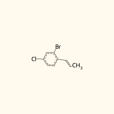 CC=Cc1ccc(Cl)cc1Br